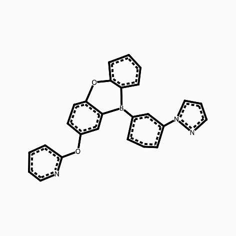 c1ccc(Oc2ccc3c(c2)B(c2cccc(-n4cccn4)c2)c2ccccc2O3)nc1